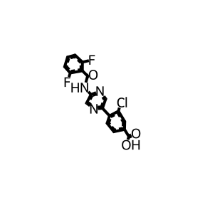 O=C(O)c1ccc(-c2cnc(NC(=O)c3c(F)cccc3F)cn2)c(Cl)c1